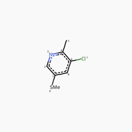 CSc1cnc(C)c(Cl)c1